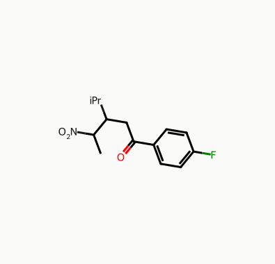 CC(C)C(CC(=O)c1ccc(F)cc1)C(C)[N+](=O)[O-]